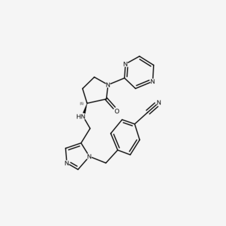 N#Cc1ccc(Cn2cncc2CN[C@H]2CCN(c3cnccn3)C2=O)cc1